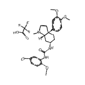 COc1ccc(Cl)cc1NC(=O)N[C@@H]1CC[C@@]2(c3ccc(OC)c(OC)c3)CCN(C)[C@H]2C1.O=C(O)C(F)(F)F